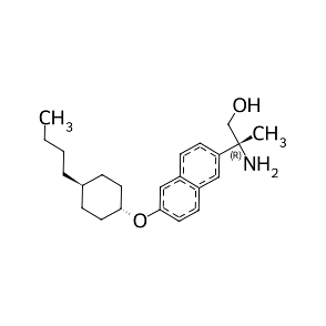 CCCC[C@H]1CC[C@H](Oc2ccc3cc([C@@](C)(N)CO)ccc3c2)CC1